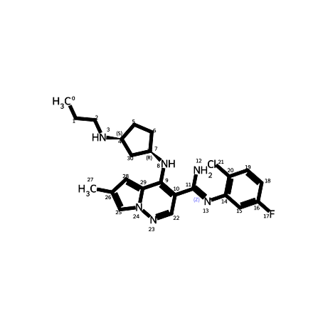 CCCN[C@H]1CC[C@@H](Nc2c(/C(N)=N/c3cc(F)ccc3Cl)cnn3cc(C)cc23)C1